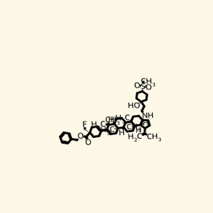 C=C(C)C1CC[C@]2(NCC[C@]3(O)CC[C@@H](S(C)(=O)=O)CC3)CC[C@]3(C)[C@H](CC[C@@H]4[C@@]5(C)CC=C(C6=CC[C@](CF)(C(=O)OCc7ccccc7)CC6)C(C)(C)[C@@H]5CC[C@]43C)[C@@H]12